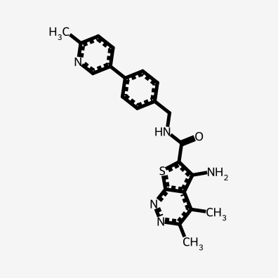 Cc1ccc(-c2ccc(CNC(=O)c3sc4nnc(C)c(C)c4c3N)cc2)cn1